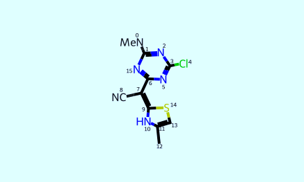 CNc1nc(Cl)nc(/C(C#N)=C2/NC(C)=CS2)n1